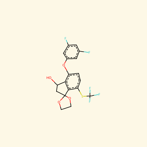 OC1CC2(OCCO2)c2c(SC(F)(F)F)ccc(Oc3cc(F)cc(F)c3)c21